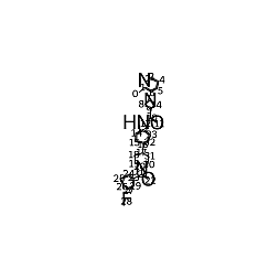 Cc1ncccc1N1CC(C(=O)Nc2ccc(C3CCN(C(=O)c4cccc(F)c4)CC3)cc2)C1